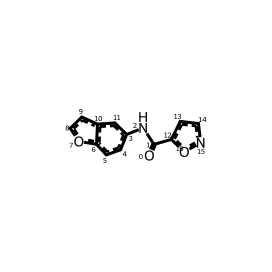 O=C(Nc1ccc2occc2c1)c1ccno1